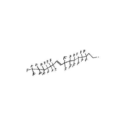 [CH2]CCC(F)(F)C(F)(F)C(F)(F)C(F)(F)C(F)(F)C(F)(F)C=CC(F)(F)C(F)(F)C(F)(F)C(F)(F)C(F)(F)C(F)(F)F